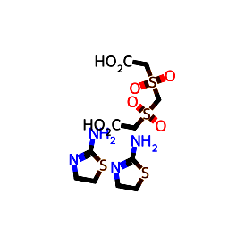 NC1=NCCS1.NC1=NCCS1.O=C(O)CS(=O)(=O)CS(=O)(=O)CC(=O)O